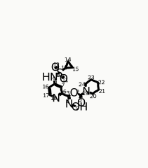 O=C(OC(=NO)c1cc(NS(=O)(=O)C2CC2)ccn1)N1CCCCC1